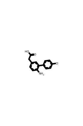 Nc1ccc(CC(=O)O)cc1-c1ccc(Cl)cc1